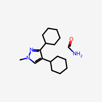 Cn1cc(C2CCCCC2)c(C2CCCCC2)n1.NC=O